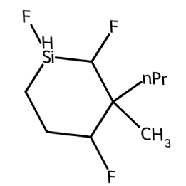 CCCC1(C)C(F)CC[SiH](F)C1F